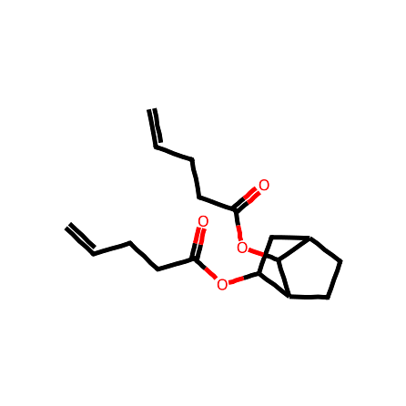 C=CCCC(=O)OC1CC2CCC1C2OC(=O)CCC=C